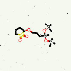 C[Si](C)(C)O[Si](C)(CCCOC1CCCS1(=O)=O)O[Si](C)(C)C